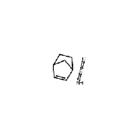 C1=CC2CCC1C2.N=C=O